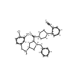 CN(Cc1ccc(Cl)c(Cl)c1)C1CC(C(=O)N2CCN(c3ccccc3C#N)CC2)N(Cc2ccccc2)C1